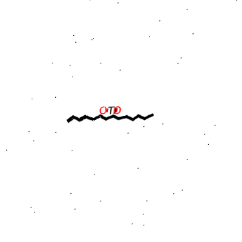 C=CC=CCCCCCCCCCC.[O]=[Ti]=[O]